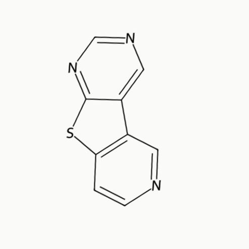 c1cc2sc3ncncc3c2cn1